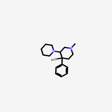 CC(=O)OC1(c2ccccc2)CCN(C)CC1N1CCCCC1